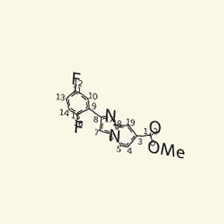 COC(=O)c1ccn2cc(-c3cc(F)ccc3F)nc2c1